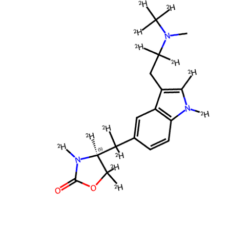 [2H]c1c(CC([2H])([2H])N(C)C([2H])([2H])[2H])c2cc(C([2H])([2H])[C@]3([2H])N([2H])C(=O)OC3([2H])[2H])ccc2n1[2H]